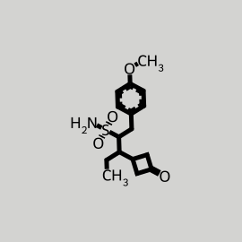 CCC(C1CC(=O)C1)C(Cc1ccc(OC)cc1)S(N)(=O)=O